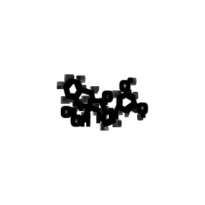 COc1cc(OC)cc(-n2ccnc2C(=O)CCc2ccccc2N(C(=O)O)C(C)(C)C)c1